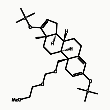 COCCOCOC[C@]12CC=C(O[Si](C)(C)C)C=C1CC[C@@H]1[C@@H]2CC[C@]2(C)C(O[Si](C)(C)C)=CC[C@@H]12